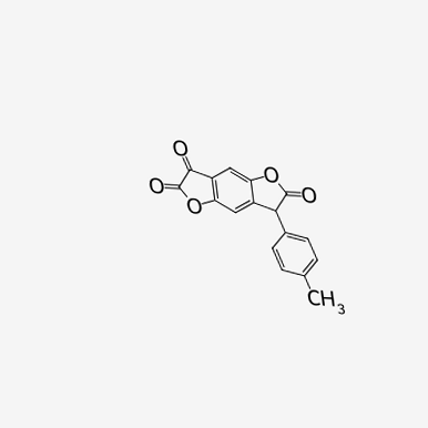 Cc1ccc(C2C(=O)Oc3cc4c(cc32)OC(=O)C4=O)cc1